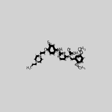 CCCN1CCN(CCOc2ccc(Nc3nccc(N(Cc4cc(OC)ccc4OC)C(=O)O)n3)cc2F)CC1